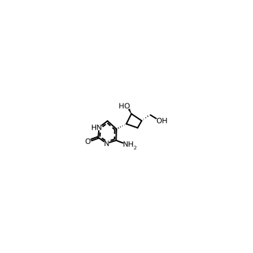 Nc1nc(=O)[nH]cc1[C@H]1C[C@@H](CO)[C@@H]1O